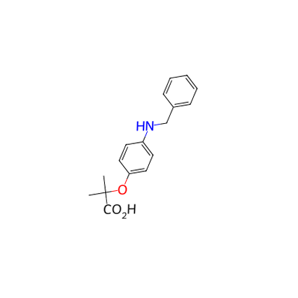 CC(C)(Oc1ccc(NCc2ccccc2)cc1)C(=O)O